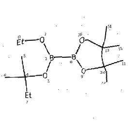 CCOB(OC(C)(C)CC)B1OC(C)(C)C(C)(C)O1